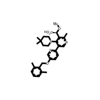 Cc1cccc(C)c1COc1ccc(-c2cnc(C)c([C@H](OC(C)(C)C)C(=O)O)c2N2CCC(C)(C)CC2)nc1